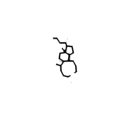 CC1CC[C@@H](O)CCC[C@@H](O)[C@@H]2[C@@H]1CCC1(C)C([C@H](C)CCC(=O)O)CC[C@@H]21